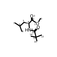 COC(=O)[C@H](CC(C)C)NC(=O)C(C)(C)C